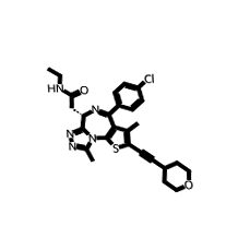 CCNC(=O)C[C@@H]1N=C(c2ccc(Cl)cc2)c2c(sc(C#CC3CCOCC3)c2C)-n2c(C)nnc21